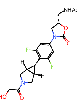 CC(=O)NC[C@H]1CN(c2cc(F)c([C@H]3[C@@H]4CN(C(=O)CO)C[C@@H]43)c(F)c2)C(=O)O1